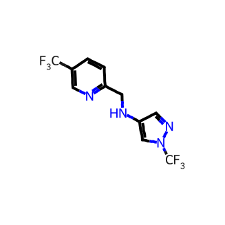 FC(F)(F)c1ccc(CNc2cnn(C(F)(F)F)c2)nc1